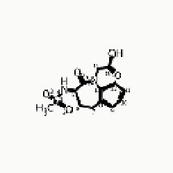 CS(=O)(=O)NC1CCc2ccccc2N(CC(=O)O)C1=O